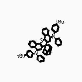 CC(C)(C)c1ccc(N(c2ccccc2)c2cc3c(c4ccccc24)Sc2c(cc(N(c4ccccc4)c4ccc(C(C)(C)C)cc4)c4ccccc24)C32C3CC4CC(C3)CC2C4)cc1